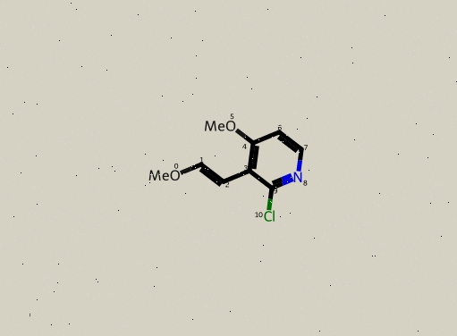 COC=Cc1c(OC)ccnc1Cl